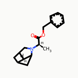 C[C@H](C(=O)OCc1ccccc1)N1CC2CC3CC1[C@H]32